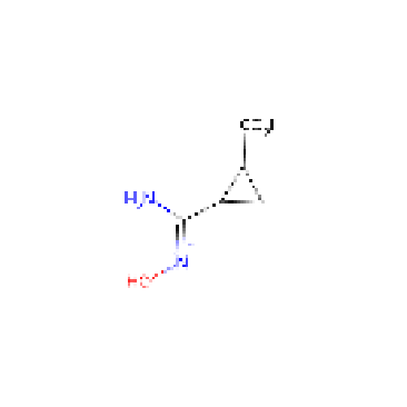 N/C(=N\O)C1CC1C(=O)O